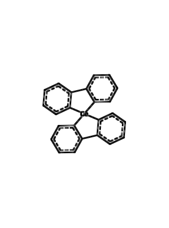 c1cc[c]2c(c1)-c1cccc[c]1[Ge]21[c]2ccccc2-c2cccc[c]21